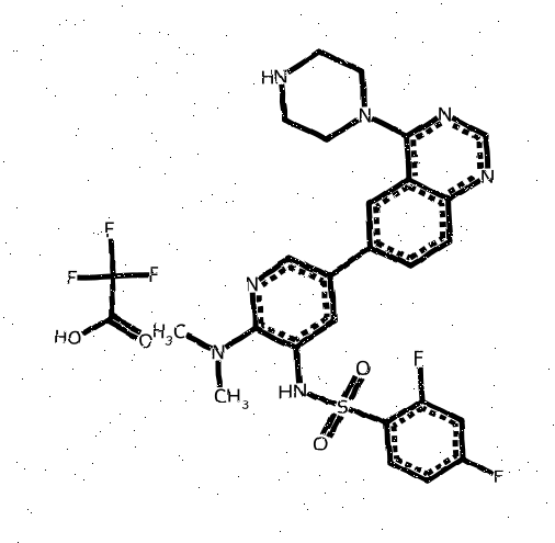 CN(C)c1ncc(-c2ccc3ncnc(N4CCNCC4)c3c2)cc1NS(=O)(=O)c1ccc(F)cc1F.O=C(O)C(F)(F)F